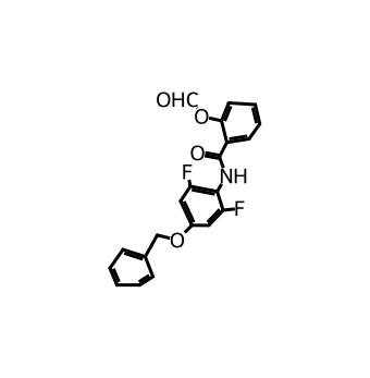 O=COc1ccccc1C(=O)Nc1c(F)cc(OCc2ccccc2)cc1F